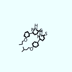 CC(C)CCOc1ccc(-c2ccc(=S)[nH]n2)cc1.CCCOc1cccc(-c2ccc(=S)[nH]n2)c1